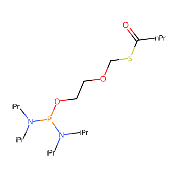 CCCC(=O)SCOCCOP(N(C(C)C)C(C)C)N(C(C)C)C(C)C